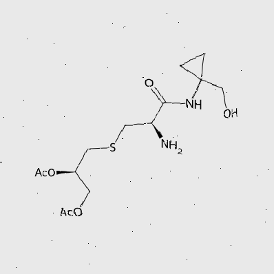 CC(=O)OC[C@H](CSC[C@H](N)C(=O)NC1(CO)CC1)OC(C)=O